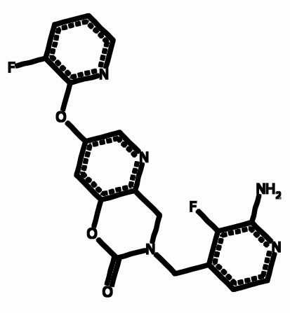 Nc1nccc(CN2Cc3ncc(Oc4ncccc4F)cc3OC2=O)c1F